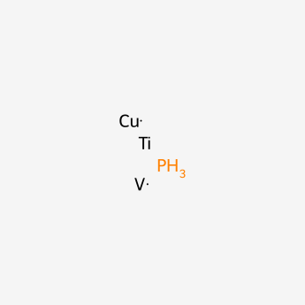 P.[Cu].[Ti].[V]